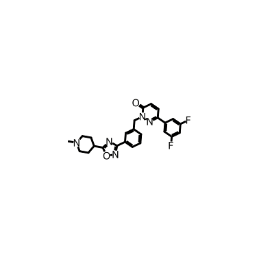 CN1CCC(c2nc(-c3cccc(Cn4nc(-c5cc(F)cc(F)c5)ccc4=O)c3)no2)CC1